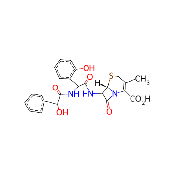 CC1=C(C(=O)O)N2C(=O)C(NC(=O)C(NC(=O)C(O)c3ccccc3)c3ccccc3O)[C@@H]2SC1